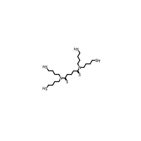 S=C(CCCC(=S)N(CCCCS)CCCCS)N(CCCCS)CCCCS